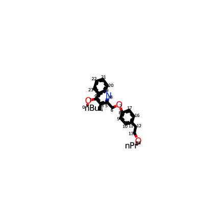 CCCCOc1c(C)c(COc2ccc(CCOCCC)cc2)nc2ccccc12